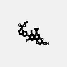 CCOC(=O)N1CCC2CN(c3c(F)cc4c(=O)c(OC(=O)O)cn(C5CC5)c4c3F)CC21